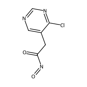 O=NC(=O)Cc1cncnc1Cl